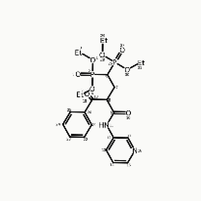 CCOP(=O)(OCC)C(CC(C(=O)Nc1cccnc1)C(=O)c1ccccc1)P(=O)(OCC)OCC